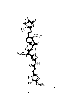 CO/N=C(\C(=O)N[C@@H]1C(=O)N2C(C(=O)O)=C(CSc3nc(=O)c(=O)[nH]n3C)CS[C@H]12)c1nsc(NC(=O)CCC(=O)N[C@H](C(=O)OC(C)(C)C)C(C)C)n1